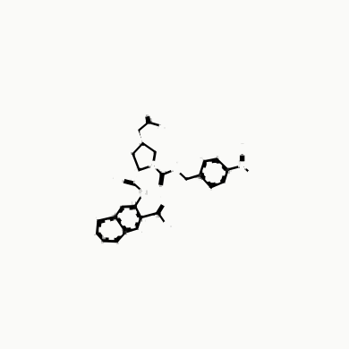 O=C(S)C[C@@H]1C[C@@H](C(=O)Nc2cc3ccccc3cc2C(=O)O)N(C(=O)OCc2ccc([N+](=O)[O-])cc2)C1